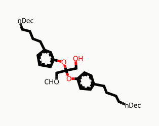 CCCCCCCCCCCCCCc1ccc(OC(CO)(CC=O)Oc2cccc(CCCCCCCCCCCCCC)c2)cc1